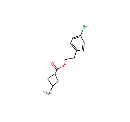 CC1CC(C(=O)OCCc2ccc(Br)cc2)C1